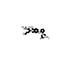 CCN(CC(F)F)C1CCCC1Oc1ccc2c(c1)CN(C(CCC=O)C(=O)NC)C2=O